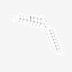 CC(CC(=O)O)C(C(=O)OC(F)(F)C(F)(F)C(F)(F)C(F)(F)C(F)(F)C(F)(F)C(F)(F)C(F)(F)F)C(F)(F)C(F)(F)C(F)(F)C(F)(F)C(F)(F)C(F)(F)C(F)(F)C(F)(F)F